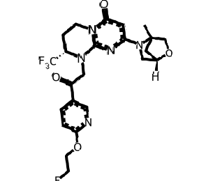 CC12CO[C@H](CN1c1cc(=O)n3c(n1)N(CC(=O)c1ccc(OCCF)nc1)[C@H](C(F)(F)F)CC3)C2